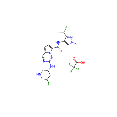 Cn1cc(NC(=O)c2ccc3cnc(N[C@H]4CNC[C@H](F)C4)nn23)c(C(F)F)n1.O=C(O)C(F)(F)F